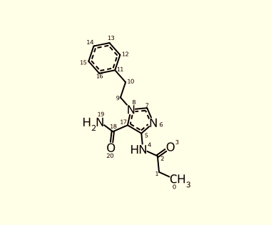 CCC(=O)Nc1ncn(CCc2ccccc2)c1C(N)=O